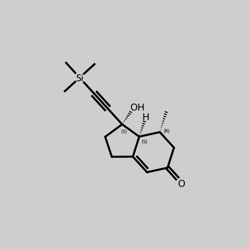 C[C@@H]1CC(=O)C=C2CC[C@@](O)(C#C[Si](C)(C)C)[C@H]21